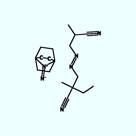 CCC(C)(C#N)CN=NCC(C)C#N.[N-]=[N+]1C23CCC1(CC2)CC3